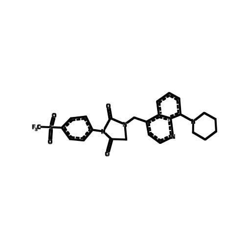 O=C1CN(Cc2ccnc3c(N4CCCCC4)cccc23)C(=O)N1c1ccc(S(=O)(=O)C(F)(F)F)cc1